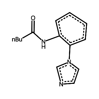 CCCCC(=O)Nc1ccccc1-n1ccnc1